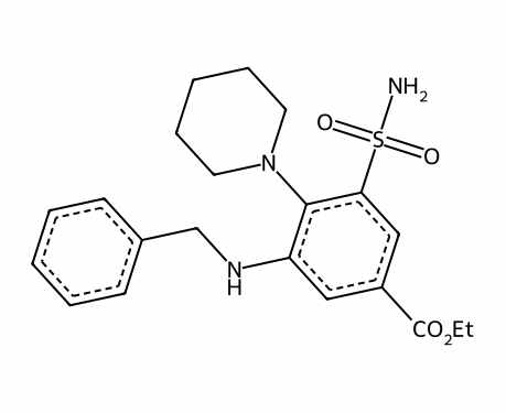 CCOC(=O)c1cc(NCc2ccccc2)c(N2CCCCC2)c(S(N)(=O)=O)c1